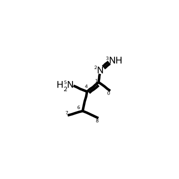 C/C(N=N)=C(/N)C(C)C